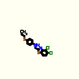 CCCSc1ccc(NCc2nc3c(Cl)c(Cl)ccc3s2)cc1